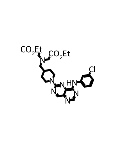 CCOC(=O)CN(CC(=O)OCC)CC1CCN(c2ncc3ncnc(Nc4cccc(Cl)c4)c3n2)CC1